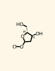 OC[C@H]1OC(OCl)C[C@@H]1O